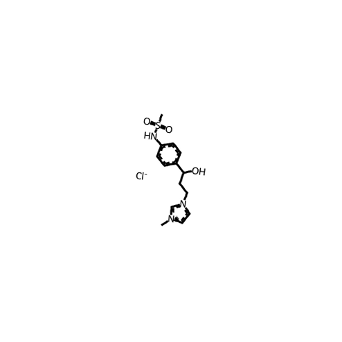 C[n+]1ccn(CCC(O)c2ccc(NS(C)(=O)=O)cc2)c1.[Cl-]